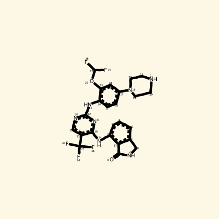 O=C1NCc2cccc(Nc3nc(Nc4ccc(N5CCNCC5)cc4OC(F)F)ncc3C(F)(F)F)c21